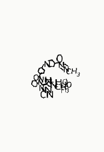 CN1CCN(C(=O)C2CCN(Cc3ccc(C(=O)NN(c4nc(C#N)nc5c4ncn5C)C4CCCCC4)cc3)CC2)CC1.O=C(O)C(F)(F)F